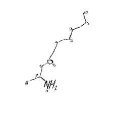 CCCCCOCC(C)N